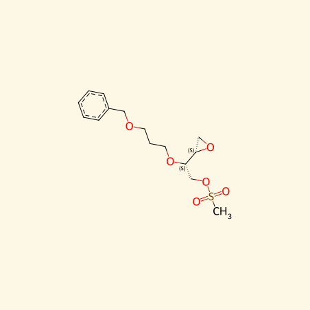 CS(=O)(=O)OC[C@H](OCCCOCc1ccccc1)[C@@H]1CO1